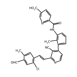 Cc1cc(/C=C/c2nccc(-c3cccc(NC(=O)c4ccc(C(=O)O)cn4)c3C)c2C#N)c(Cl)cc1C=O